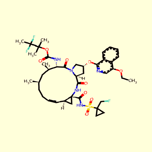 CCOc1cnc(O[C@@H]2C[C@H]3C(=O)N[C@]4(C(=O)NS(=O)(=O)C5(CF)CC5)C[C@H]4/C=C\CC[C@@H](C)C[C@@H](C)[C@H](NC(=O)OC(C)(C)C(C)(F)F)C(=O)N3C2)c2ccccc12